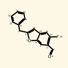 O=Cc1cc2oc(Cc3ccccc3)cc2cc1F